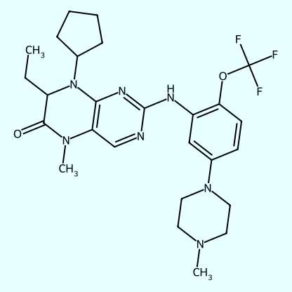 CCC1C(=O)N(C)c2cnc(Nc3cc(N4CCN(C)CC4)ccc3OC(F)(F)F)nc2N1C1CCCC1